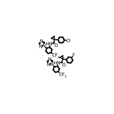 O=C(Nc1cc(C(F)(F)F)ccc1-n1cncn1)C1(c2ccc(Cl)cc2)CC1.O=C(Nc1cc(C(F)(F)F)ccc1-n1cncn1)C1(c2cccc(F)c2)CC1